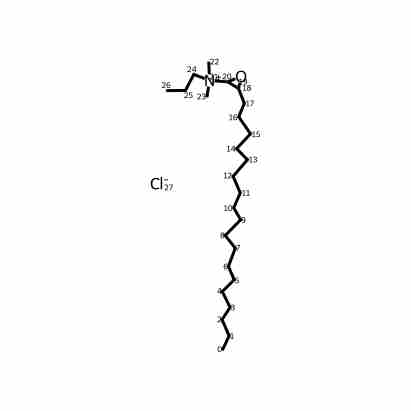 CCCCCCCCCCCCCCCCCCC1OC1[N+](C)(C)CCC.[Cl-]